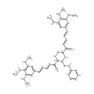 COc1cc(/C=C/C=C/C(=O)N2CCN(C(=O)/C=C/C=C/c3cc(OC)c(OC)c(OC)c3)C(CSc3ccccc3)C2)cc(OC)c1OC